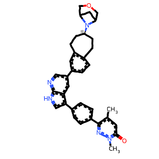 Cc1cc(=O)n(C)nc1-c1ccc(-c2c[nH]c3ncc(-c4ccc5c(c4)CC[C@@H](N4C6COCC4C6)CC5)cc23)cc1